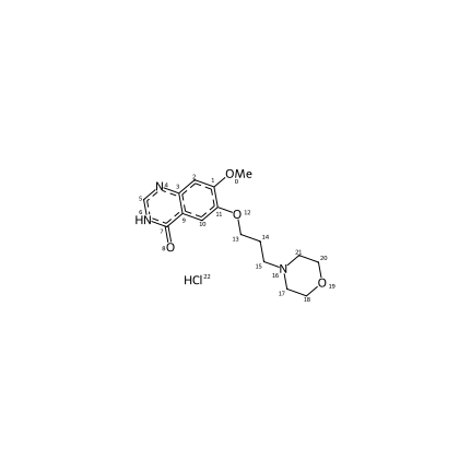 COc1cc2nc[nH]c(=O)c2cc1OCCCN1CCOCC1.Cl